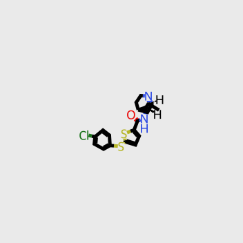 C[C@H]1[C@H](NC(=O)c2ccc(Sc3ccc(Cl)cc3)s2)C2CCN1CC2